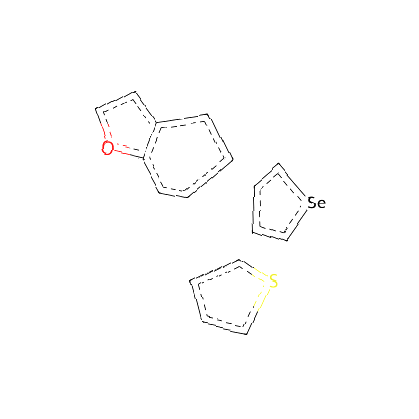 c1cc[se]c1.c1ccc2occc2c1.c1ccsc1